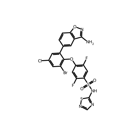 Nc1noc2ccc(-c3cc(Cl)cc(Br)c3Oc3cc(F)c(S(=O)(=O)Nc4ncns4)cc3F)cc12